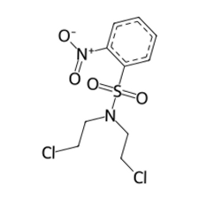 O=[N+]([O-])c1ccccc1S(=O)(=O)N(CCCl)CCCl